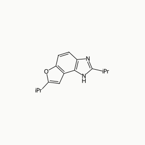 CC(C)c1nc2ccc3oc(C(C)C)cc3c2[nH]1